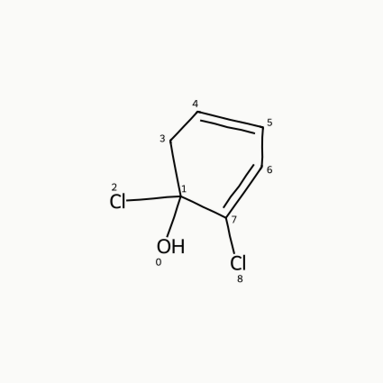 OC1(Cl)CC=CC=C1Cl